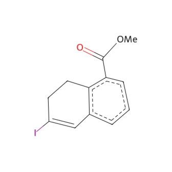 COC(=O)c1cccc2c1CCC(I)=C2